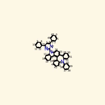 c1ccc(-c2cc(-c3ccccc3)nc(-n3c4ccccc4c4c5c(ccc43)-c3ccccc3N(c3ccccc3)c3ccccc3-5)n2)cc1